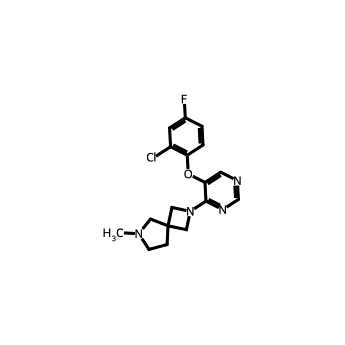 CN1CCC2(C1)CN(c1ncncc1Oc1ccc(F)cc1Cl)C2